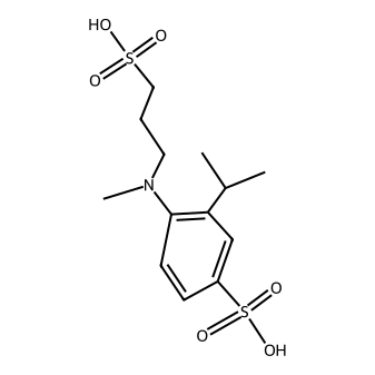 CC(C)c1cc(S(=O)(=O)O)ccc1N(C)CCCS(=O)(=O)O